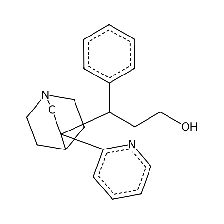 OCCC(c1ccccc1)C1(c2ccccn2)CN2CCC1CC2